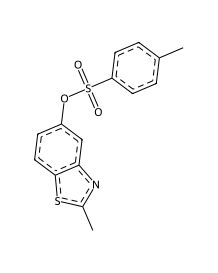 Cc1ccc(S(=O)(=O)Oc2ccc3sc(C)nc3c2)cc1